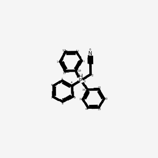 N#CC[PH](c1ccccc1)(c1ccccc1)c1ccccc1